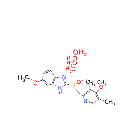 COc1ccc2nc([S@+]([O-])Cc3ncc(C)c(OC)c3C)[nH]c2c1.O.O.O.O